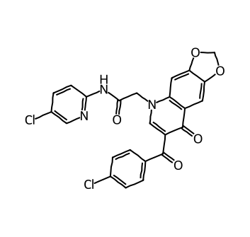 O=C(Cn1cc(C(=O)c2ccc(Cl)cc2)c(=O)c2cc3c(cc21)OCO3)Nc1ccc(Cl)cn1